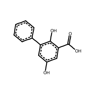 O=C(O)c1cc(O)cc(-c2ccccc2)c1O